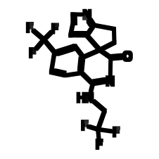 O=C1N=C(NCC(F)(F)F)c2ccc(C(F)(F)F)cc2C12CCc1ncccc12